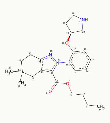 CCCCOC(=O)c1c2c(nn1-c1ccccc1O[C@H]1CCNC1)CCC(C)(C)C2